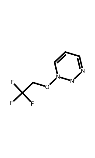 FC(F)(F)CON1C=CC=N[N]1